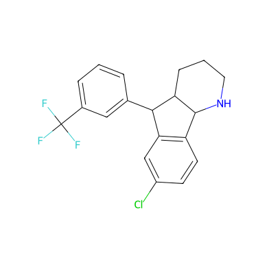 FC(F)(F)c1cccc(C2c3cc(Cl)ccc3C3NCCCC32)c1